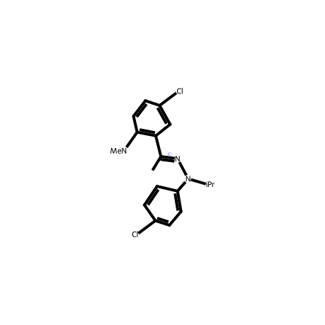 CNc1ccc(Cl)cc1/C(C)=N/N(c1ccc(Cl)cc1)C(C)C